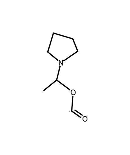 CC(O[C]=O)N1CCCC1